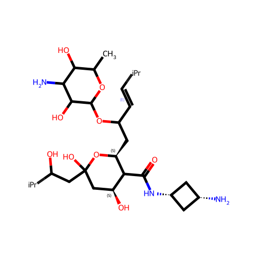 CC(C)/C=C/C(C[C@@H]1OC(O)(CC(O)C(C)C)C[C@H](O)C1C(=O)N[C@H]1C[C@@H](N)C1)OC1OC(C)C(O)C(N)C1O